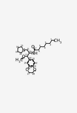 CCCCCCCC(=O)NC(CN1CCCC1)C(OC)c1ccc2c(c1)OCCO2